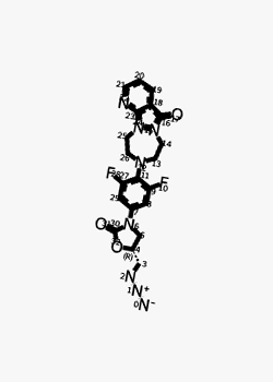 [N-]=[N+]=NC[C@H]1CN(c2cc(F)c(N3CCn4c(=O)c5cccnc5n4CC3)c(F)c2)C(=O)O1